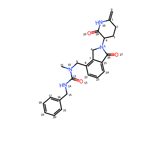 C=C1CCC(N2Cc3c(CN(C)C(=O)NCc4ccccc4)cccc3C2=O)C(=O)N1